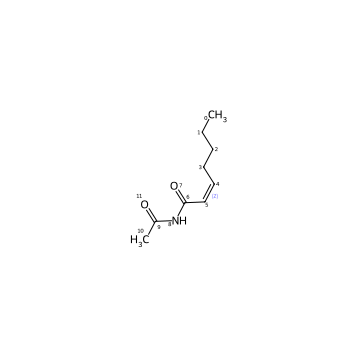 CCCC/C=C\C(=O)NC(C)=O